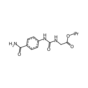 CC(C)OC(=O)CNC(=O)Nc1ccc(C(N)=O)cc1